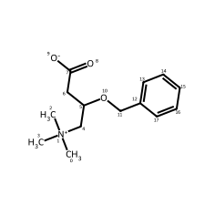 C[N+](C)(C)CC(CC(=O)[O-])OCc1ccccc1